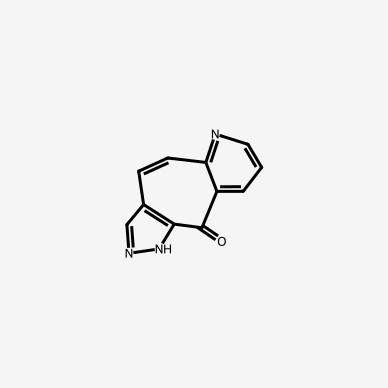 O=c1c2cccnc2ccc2cn[nH]c12